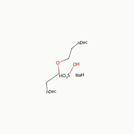 CCCCCCCCCCCCOCCCCCCCCCCCC.O=S(=O)(O)O.[NaH]